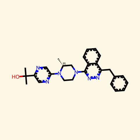 C[C@@H]1CN(c2nnc(Cc3ccccc3)c3ccccc23)CCN1c1cnc(C(C)(C)O)cn1